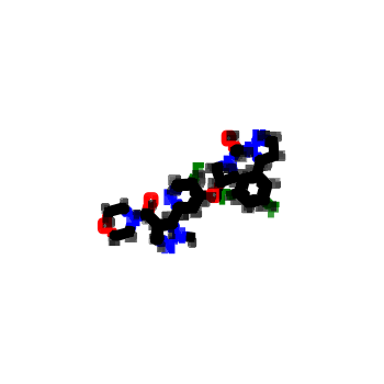 Cn1ncc(C(=O)N2CCOCC2)c1-c1cc(OC2CN(C(=O)N3N=CCC3c3cc(F)cc(F)c3)C2)c(F)cn1